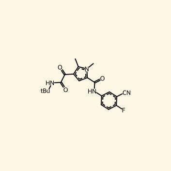 Cc1c(C(=O)C(=O)NC(C)(C)C)cc(C(=O)Nc2ccc(F)c(C#N)c2)n1C